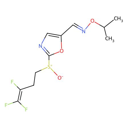 CC(C)O/N=C/c1cnc([S+]([O-])CCC(F)=C(F)F)o1